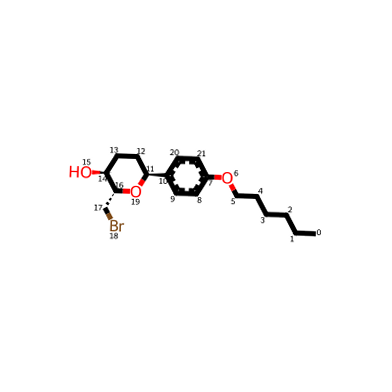 CCCCCCOc1ccc([C@@H]2CC[C@H](O)[C@@H](CBr)O2)cc1